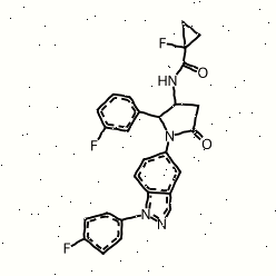 O=C1CC(NC(=O)C2(F)CC2)C(c2cccc(F)c2)N1c1ccc2c(cnn2-c2ccc(F)cc2)c1